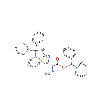 CC(=O)ON=C(C(=O)OC(c1ccccc1)c1ccccc1)c1csc(NC(c2ccccc2)(c2ccccc2)c2ccccc2)n1